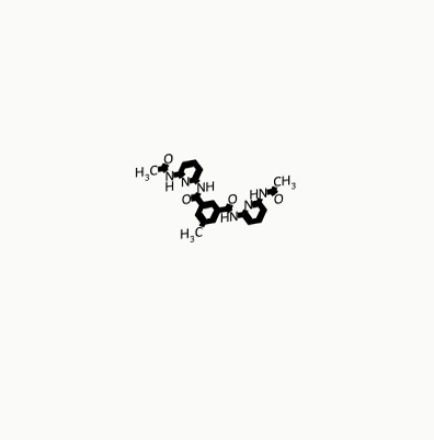 CC(=O)Nc1cccc(NC(=O)c2cc(C)cc(C(=O)Nc3cccc(NC(C)=O)n3)c2)n1